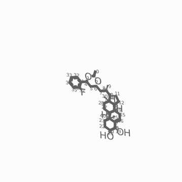 CC(=O)OC(CCC[C@@H](C)[C@H]1CC[C@H]2[C@@H]3CC=C4[C@@H](O)[C@@H](O)CC[C@]4(C)[C@H]3CC[C@]12C)c1ccccc1F